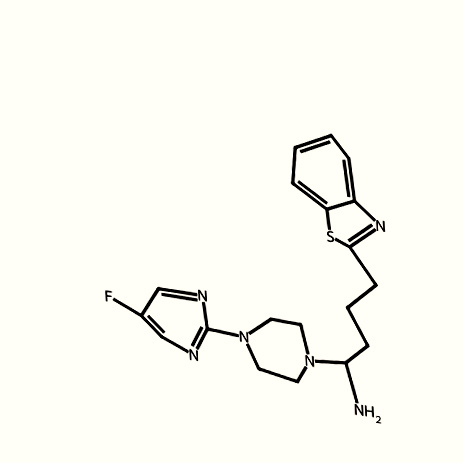 NC(CCCc1nc2ccccc2s1)N1CCN(c2ncc(F)cn2)CC1